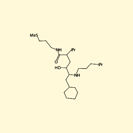 CSCCCNC(=O)C(CC(O)C(CC1CCCCC1)NCCCC(C)C)C(C)C